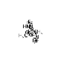 CCS(=O)(=O)c1cc2[nH]c(C(F)(F)F)nc2nc1-c1nc2cc(C(F)(F)F)ncc2n1C